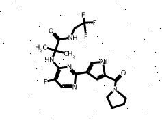 CC(C)(Nc1nc(-c2c[nH]c(C(=O)N3CCCC3)c2)ncc1F)C(=O)NCC(F)(F)F